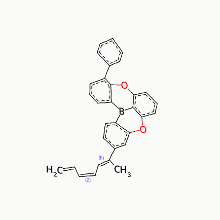 C=C/C=C\C=C(/C)c1ccc2c(c1)Oc1cccc3c1B2c1cccc(-c2ccccc2)c1O3